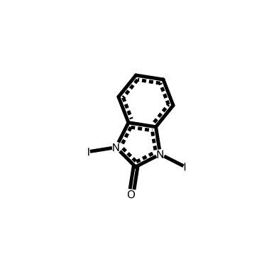 O=c1n(I)c2ccccc2n1I